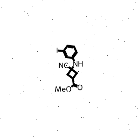 COC(=O)C1CC(C#N)(Nc2cccc(I)c2)C1